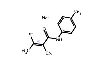 C/C([S-])=C(\C#N)C(=O)Nc1ccc(C(F)(F)F)cc1.[Na+]